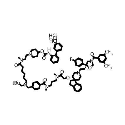 CN(CCN1CCC(OC(=O)Nc2ccccc2-c2ccccc2)CC1)C(=O)CCCCCN(Cc1ccc(C(=O)N(C)CCCN(C)C(=O)CO[C@H]2Cc3ccccc3C23CCN(CC[C@@]2(c4ccc(F)cc4)CN(C(=O)c4cc(C(F)(F)F)cc(C(F)(F)F)c4)CO2)CC3)cc1)CC(C)(C)C.Cl.Cl.Cl